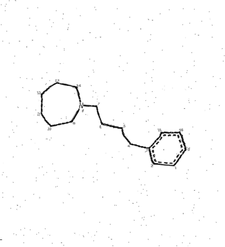 c1ccc(CCCCN2CCCCCC2)cc1